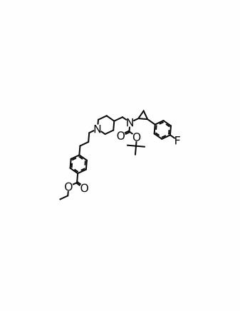 CCOC(=O)c1ccc(CCCN2CCC(CN(C(=O)OC(C)(C)C)C3CC3c3ccc(F)cc3)CC2)cc1